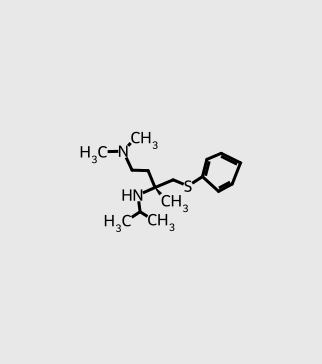 CC(C)N[C@](C)(CCN(C)C)CSc1ccccc1